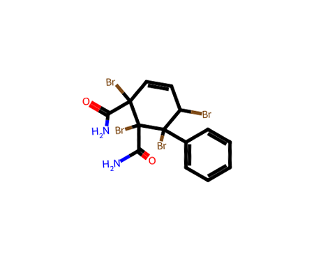 NC(=O)C1(Br)C=CC(Br)C(Br)(c2ccccc2)C1(Br)C(N)=O